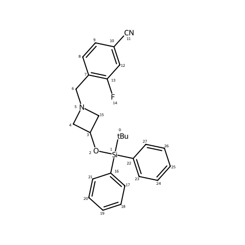 CC(C)(C)[Si](OC1CN(Cc2ccc(C#N)cc2F)C1)(c1ccccc1)c1ccccc1